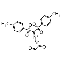 Cc1ccc(S(=O)(=O)C(=[N+]=[N-])S(=O)(=O)c2ccc(C)cc2)cc1.O=CC=O